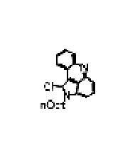 CCCCCCCCN1c2cccc3nc4ccccc4c(c23)C1Cl